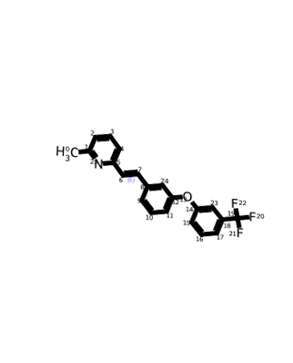 Cc1cccc(/C=C/c2cccc(Oc3cccc(C(F)(F)F)c3)c2)n1